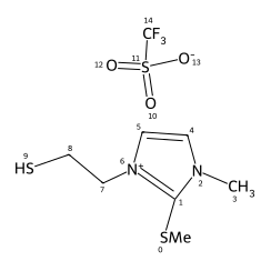 CSc1n(C)cc[n+]1CCS.O=S(=O)([O-])C(F)(F)F